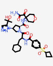 CC(C)(O)c1cnnn1[C@H]1C[C@@H](C(=O)NC2(C(=O)C(N)=O)CCOCC2)N(C(=O)C(CC2CCCCC2)NC(=O)c2ccc(S(=O)(=O)C3CCC3)cc2)C1